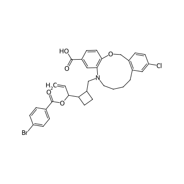 C=CC(OC(=O)c1ccc(Br)cc1)C1CCC1CN1CCCCc2cc(Cl)ccc2COc2ccc(C(=O)O)cc21